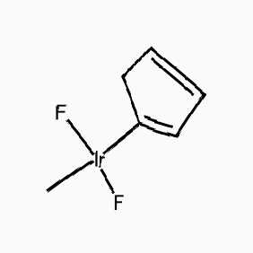 [CH3][Ir]([F])([F])[C]1=CC=CC1